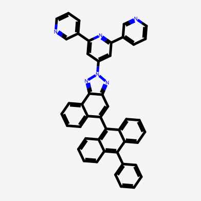 c1ccc(-c2c3ccccc3c(-c3cc4nn(-c5cc(-c6cccnc6)nc(-c6cccnc6)c5)nc4c4ccccc34)c3ccccc23)cc1